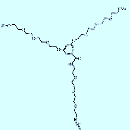 COCCOCCOCCOCCOc1cc(OCCOCCOCCOCCOC)cc(C(=O)NCCOCCOCCOCCN=[N+]=[N-])c1